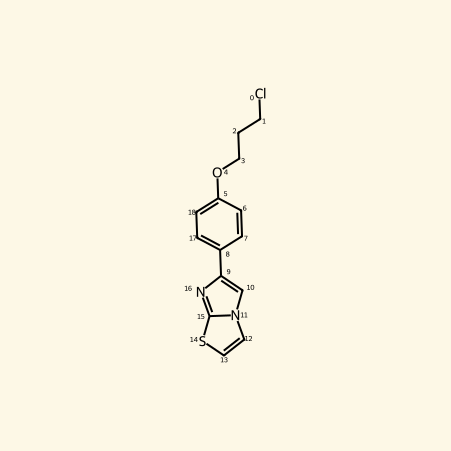 ClCCCOc1ccc(-c2cn3ccsc3n2)cc1